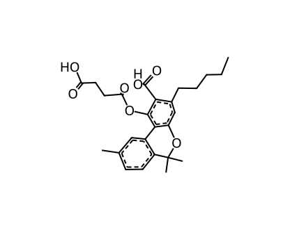 CCCCCc1cc2c(c(OC(=O)CCC(=O)O)c1C(=O)O)-c1cc(C)ccc1C(C)(C)O2